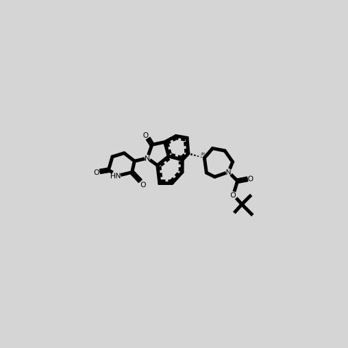 CC(C)(C)OC(=O)N1CCC[C@@H](c2ccc3c4c(cccc24)N(C2CCC(=O)NC2=O)C3=O)CC1